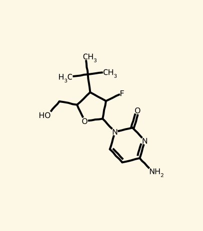 CC(C)(C)C1C(CO)OC(n2ccc(N)nc2=O)C1F